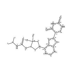 CC(C)NC(=O)OC1CN(c2ncnc3oc(-c4c[nH]c(=O)[nH]c4=O)cc23)CC1(F)F